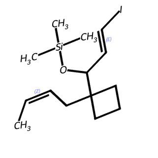 C/C=C\CC1(C(/C=C/I)O[Si](C)(C)C)CCC1